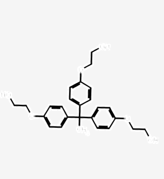 CC(c1ccc(OCCO)cc1)(c1ccc(OCCO)cc1)c1ccc(OCCO)cc1